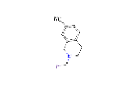 N#Cc1ccc2c(c1)CN(CI)CC2